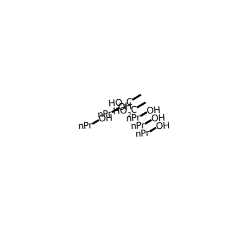 CC(=O)O.CC(=O)O.[CH2]CCO.[CH2]CCO.[CH2]CCO.[CH2]CCO.[CH2]CCO